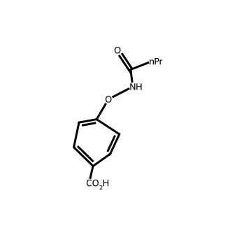 CCCC(=O)NOc1ccc(C(=O)O)cc1